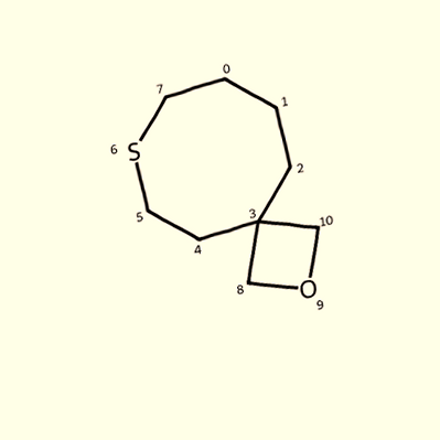 C1CCC2(CCSC1)COC2